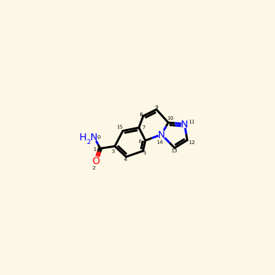 NC(=O)c1ccc2c(ccc3nccn32)c1